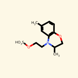 Cc1ccc2c(c1)N(CCOS(=O)(=O)O)C(C)CO2